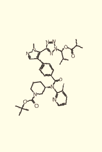 Cc1cccnc1N(C(=O)c1ccc(-c2cnn(C)c2-c2nnn(C(OC(=O)C(C)C)C(C)C)n2)cc1)[C@@H]1CCCN(C(=O)OC(C)(C)C)C1